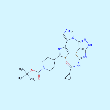 CC(C)(C)OC(=O)N1CCC(c2nc(-c3cncn3-c3n[nH]c4nc(NC(=O)C5CC5)sc34)cs2)CC1